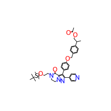 CC(=O)OCC(C)c1ccc(COc2ccc(-c3c(-c4ccncc4)nn4c3C(=O)N(CCO[Si](C)(C)C(C)(C)C)CC4)cc2)cc1